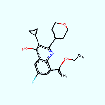 C=C(OCC)c1cc(F)cc2c(O)c(C3CC3)c(C3CCOCC3)nc12